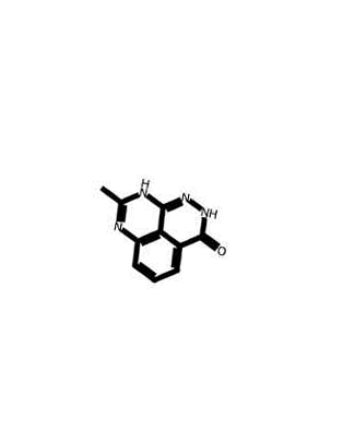 CC1=Nc2cccc3c(=O)[nH]nc(c23)N1